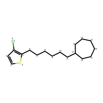 Clc1ccsc1CCCCCCC1CCCCCC1